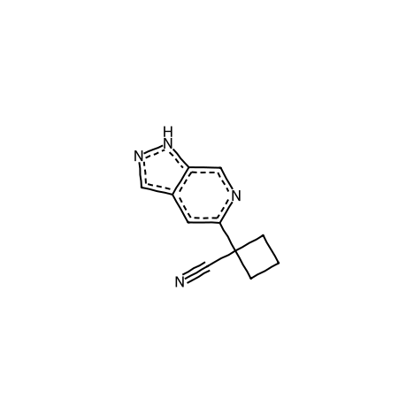 N#CC1(c2cc3cn[nH]c3cn2)CCC1